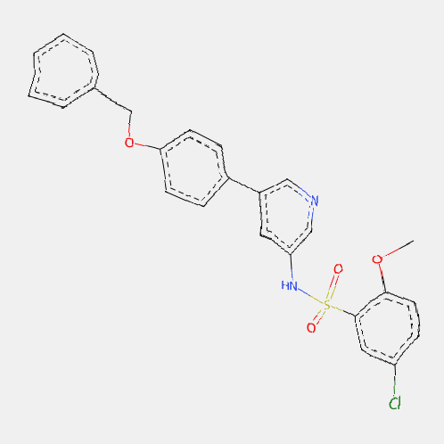 COc1ccc(Cl)cc1S(=O)(=O)Nc1cncc(-c2ccc(OCc3ccccc3)cc2)c1